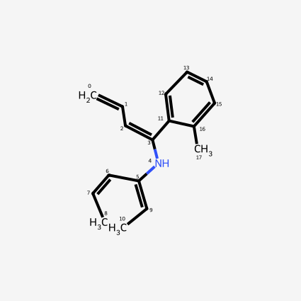 C=C/C=C(/NC(/C=C\C)=C/C)c1ccccc1C